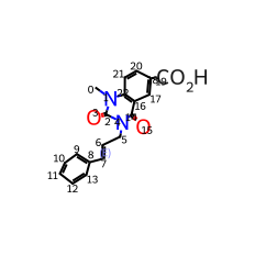 Cn1c(=O)n(C/C=C/c2ccccc2)c(=O)c2cc(C(=O)O)ccc21